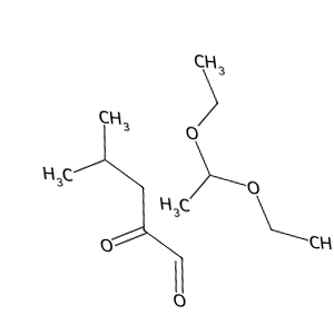 CC(C)CC(=O)C=O.CCOC(C)OCC